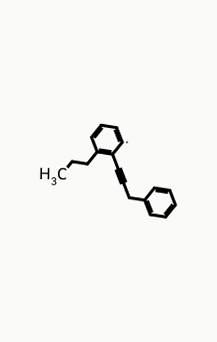 CCCc1ccc[c]c1C#CCc1ccccc1